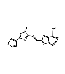 COc1cccn2nc(/C=C/c3nc(-c4ccoc4)cn3C)nc12